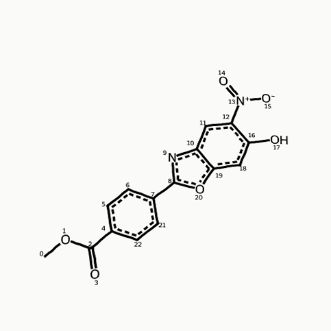 COC(=O)c1ccc(-c2nc3cc([N+](=O)[O-])c(O)cc3o2)cc1